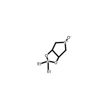 CC[Si]1(CC)OC2C[S+]([O-])CC2O1